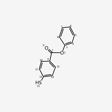 O=C(Oc1ccccc1)c1ccc(S)cc1